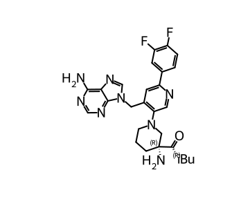 CC[C@@H](C)C(=O)[C@@]1(N)CCCN(c2cnc(-c3ccc(F)c(F)c3)cc2Cn2cnc3c(N)ncnc32)C1